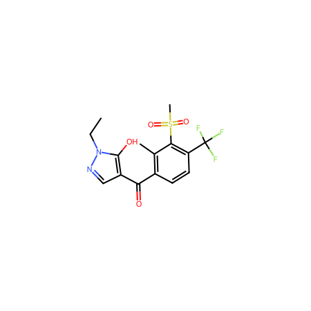 CCn1ncc(C(=O)c2ccc(C(F)(F)F)c(S(C)(=O)=O)c2C)c1O